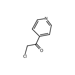 O=C(CCl)c1ccncc1